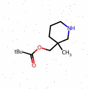 CC1(COC(=O)C(C)(C)C)CCCNC1